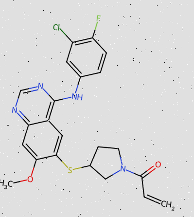 C=CC(=O)N1CCC(Sc2cc3c(Nc4ccc(F)c(Cl)c4)ncnc3cc2OC)C1